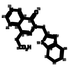 O=C(O)Cc1nn(Cc2nc3c(s2)CCC=C3)c(=O)c2cncnc12